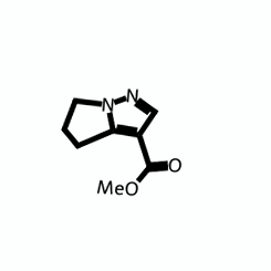 COC(=O)c1cnn2c1CCC2